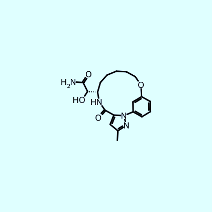 Cc1cc2n(n1)-c1cccc(c1)OCCCCC[C@@H](C(O)C(N)=O)NC2=O